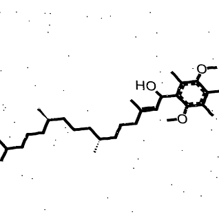 COc1c(C)c(C)c(OC)c(C(O)/C=C(\C)CCC[C@H](C)CCC[C@H](C)CCCC(C)C)c1C